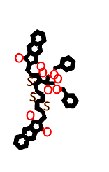 O=C1C(=Cc2cc3c(s2)-c2sc4cc(C=C5C(=O)c6cc7ccccc7cc6C5=O)sc4c2OC3(C(=O)OCc2ccccc2)C(=O)OCc2ccccc2)C(=O)c2cc3ccccc3cc21